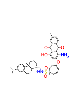 Cc1ccc2c(c1)C(=O)c1c(O)cc(OC3=CC=CC(C)(S(=O)(=O)NCC4(C)CCCC5(C)c6ccc(C(C)C)cc6CCC45)C=C3)c(N)c1C2=O